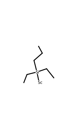 CCC[Si]([Sc])(CC)CC